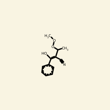 COOC(C)/C(C#N)=C(\O)c1ccccc1